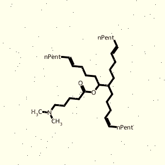 CCCCC/C=C\CCCC(CCC/C=C/CCCCC)C(CCC/C=C/CCCCC)OC(=O)CCCCN(C)C